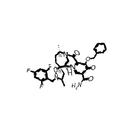 CC1C[C@]2(CC[C@H](C)N3C[C@H]2n2cc(C(N)=O)c(=O)c(OCc4ccccc4)c2C3=O)ON1Cc1c(F)cc(F)cc1F